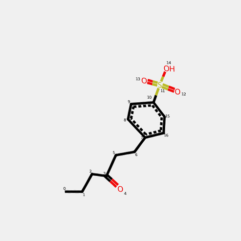 CCCC(=O)CCc1ccc(S(=O)(=O)O)cc1